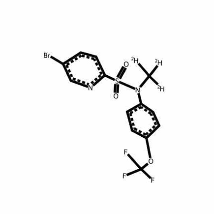 [2H]C([2H])([2H])N(c1ccc(OC(F)(F)F)cc1)S(=O)(=O)c1ccc(Br)cn1